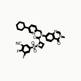 Cn1cnc2cc(N(Cc3ccc(C4CCCCC4)cn3)C(=O)[C@H]3CCN3S(=O)(=O)c3cc(F)c(F)c(C#N)c3)ccc2c1=O